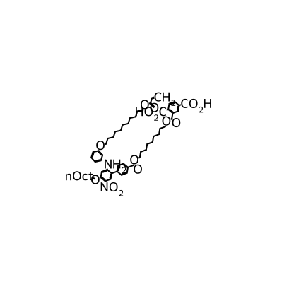 C=CC(=O)OCCCCCCCCCCCOc1ccccc1.CCCCCCCCOc1cc(N)c(-c2ccc(C(=O)OCCCCCCCCCOC(=O)c3cc(C(=O)O)ccc3C(=O)O)cc2)cc1[N+](=O)[O-]